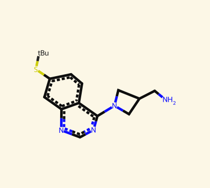 CC(C)(C)Sc1ccc2c(N3CC(CN)C3)ncnc2c1